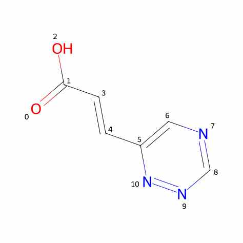 O=C(O)C=Cc1cncnn1